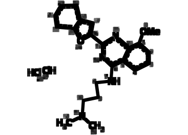 COc1cccc2c(NCCCN(C)C)nc(-c3cc4ccccc4o3)nc12.Cl.Cl